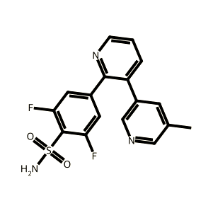 Cc1cncc(-c2cccnc2-c2cc(F)c(S(N)(=O)=O)c(F)c2)c1